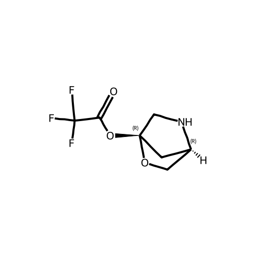 O=C(O[C@]12CN[C@@H](CO1)C2)C(F)(F)F